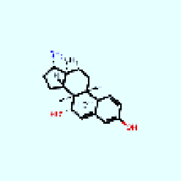 C[C@]12CC[C@H]3[C@@H]([C@@H](O)C=C4C=C(O)C=C[C@@]43C)[C@@H]1CC[C@@H]2N